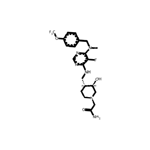 CN(Cc1ccc(OC(F)(F)F)cc1)c1ncnc(NC[C@H]2CCN(CC(N)=O)C[C@@H]2O)c1F